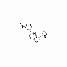 CN(C)c1cccc(-c2ccc3ncc(-c4cccs4)n3n2)c1